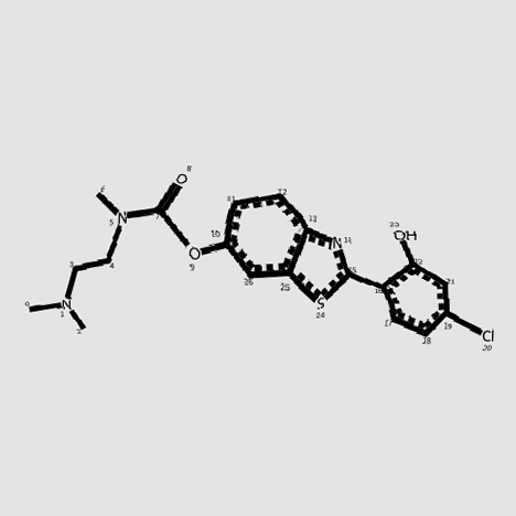 CN(C)CCN(C)C(=O)Oc1ccc2nc(-c3ccc(Cl)cc3O)sc2c1